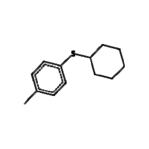 Cc1ccc(SC2CCCCC2)cc1